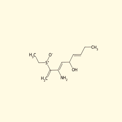 C=C(/C(N)=C/C(O)/C=C/CC)[S+]([O-])CC